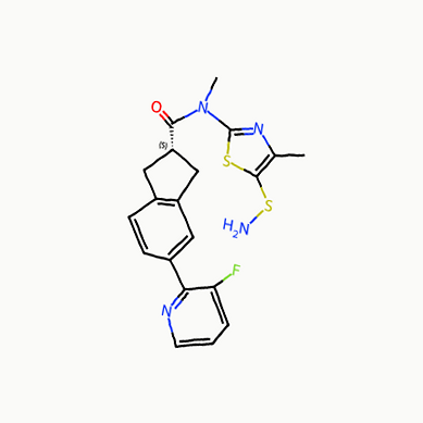 Cc1nc(N(C)C(=O)[C@H]2Cc3ccc(-c4ncccc4F)cc3C2)sc1SN